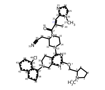 CN1CCCC1COc1nc2c(c(N3CCN(C(=O)/C(F)=C/c4nccn4C)C(CC#N)C3)n1)CCN(c1cccc3cccc(Cl)c13)C2